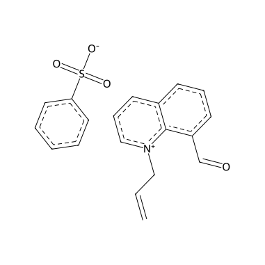 C=CC[n+]1cccc2cccc(C=O)c21.O=S(=O)([O-])c1ccccc1